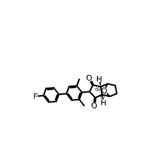 Cc1cc(-c2ccc(F)cc2)cc(C)c1C1C(=O)[C@@H]2C3CCC(O3)[C@@H]2C1=O